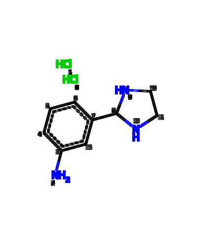 Cl.Cl.Nc1cccc(C2NCCN2)c1